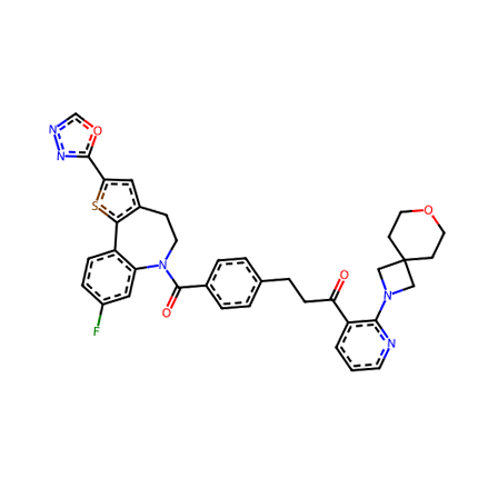 O=C(CCc1ccc(C(=O)N2CCc3cc(-c4nnco4)sc3-c3ccc(F)cc32)cc1)c1cccnc1N1CC2(CCOCC2)C1